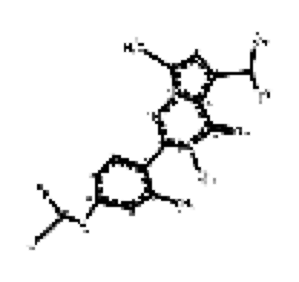 CCCC(CCC)c1cc(C)n2nc(-c3ccc(OC(F)F)cc3C)n(C)c(=O)c12